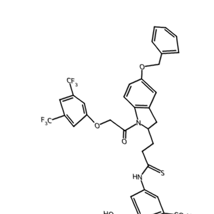 O=C(O)c1cc(CO)cc(NC(=S)CCC2Cc3cc(OCc4ccccc4)ccc3N2C(=O)COc2cc(C(F)(F)F)cc(C(F)(F)F)c2)c1